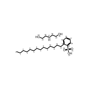 CCCCCCCCCCCCCCc1ccccc1S(=O)(=O)O.OCCNCCO